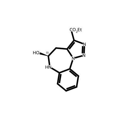 CCOC(=O)c1nnn2c1C[C@H](O)Nc1ccccc1-2